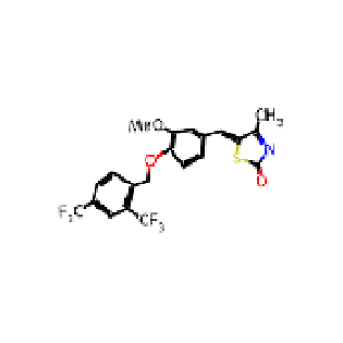 COc1cc(/C=C2\SC(=O)N=C2C)ccc1OCc1ccc(C(F)(F)F)cc1C(F)(F)F